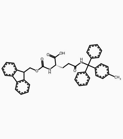 Cc1ccc(C(NC(=O)CC[C@H](NC(=O)OCC2c3ccccc3-c3ccccc32)C(=O)O)(c2ccccc2)c2ccccc2)cc1